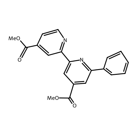 COC(=O)c1ccnc(-c2cc(C(=O)OC)cc(-c3ccccc3)n2)c1